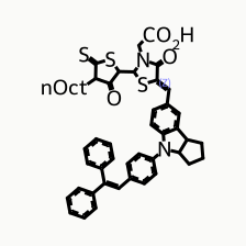 CCCCCCCCC1C(=O)C(C2S/C(=C\c3ccc4c(c3)C3CCCC3N4c3ccc(C=C(c4ccccc4)c4ccccc4)cc3)C(=O)N2CC(=O)O)SC1=S